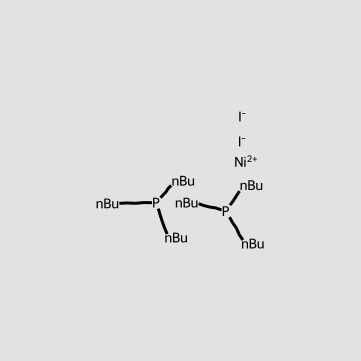 CCCCP(CCCC)CCCC.CCCCP(CCCC)CCCC.[I-].[I-].[Ni+2]